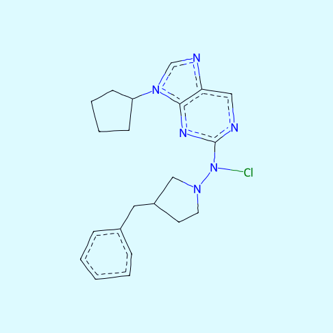 ClN(c1ncc2ncn(C3CCCC3)c2n1)N1CCC(Cc2ccccc2)C1